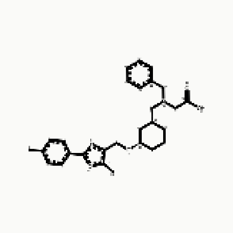 Cc1ccc(-c2nc(CO[C@@H]3CCC[C@H](CN(CC(=O)O)Cc4ccccc4)C3)c(C)o2)cc1